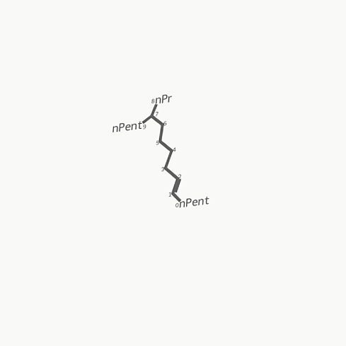 CCCCCC=CCCCCC(CCC)CCCCC